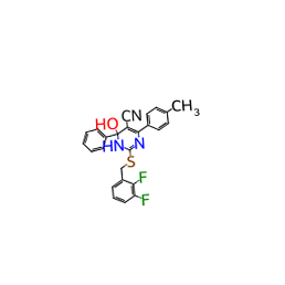 Cc1ccc(C2=C(C#N)C(O)(c3ccccc3)NC(SCc3cccc(F)c3F)=N2)cc1